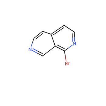 Brc1nccc2ccncc12